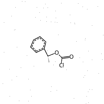 C[C@@H](OC(=O)Cl)c1ccccc1